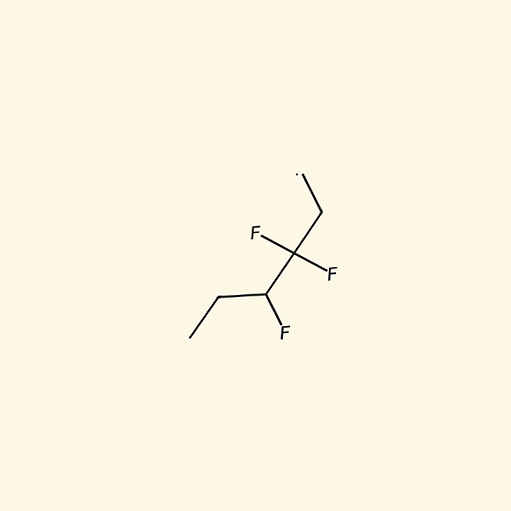 [CH2]CC(F)(F)C(F)CC